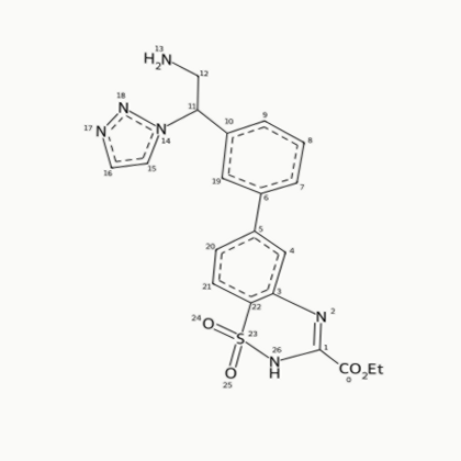 CCOC(=O)C1=Nc2cc(-c3cccc(C(CN)n4ccnn4)c3)ccc2S(=O)(=O)N1